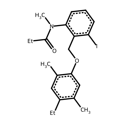 CCC(=O)N(C)c1cccc(I)c1COc1cc(C)c(CC)cc1C